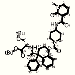 Cn1cccc(C(=O)NC2CCN(C(=O)[C@H]3CC[C@@](C(=O)N[C@@H](COC(C)(C)C)C(=O)OC(C)(C)C)(c4ccccc4)c4ccccc43)CC2)c1=O